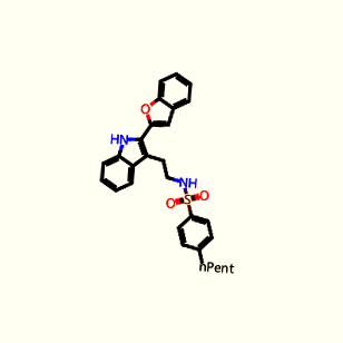 CCCCCc1ccc(S(=O)(=O)NCCc2c(-c3cc4ccccc4o3)[nH]c3ccccc23)cc1